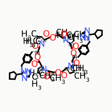 CC(C)C[C@H]1C(=O)O[C@H](Cc2ccc(Cn3ncnc3C3CCCC3)cc2)C(=O)N(C)[C@@H](CC(C)C)C(=O)O[C@H](C)C(=O)N(C)[C@@H](CC(C)C)C(=O)O[C@H](Cc2ccc(Cn3ncnc3C3CCCC3)cc2)C(=O)N(C)[C@@H](CC(C)C)C(=O)O[C@H](C)C(=O)N1C